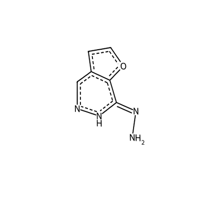 N/N=c1\[nH]ncc2ccoc12